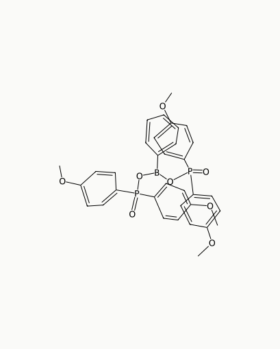 COc1ccc(P(=O)(OB(OP(=O)(c2ccc(OC)cc2)c2ccc(OC)cc2)c2ccccc2)c2ccc(OC)cc2)cc1